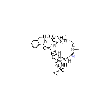 C[C@@H]1CCC[C@@H](C)/C=C\[C@@H]2C[C@@]2(C(=O)NS(=O)(=O)C2CC2)NC(=O)[C@@H]2C[C@@H](Oc3nccc4ccccc34)CN2C(=O)[C@H]1NC(=O)O